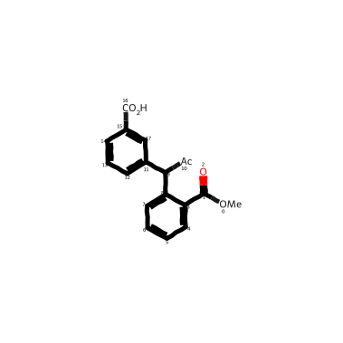 COC(=O)c1ccccc1C(C(C)=O)c1cccc(C(=O)O)c1